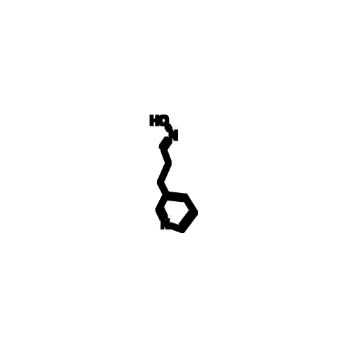 ON=CCCc1cccnc1